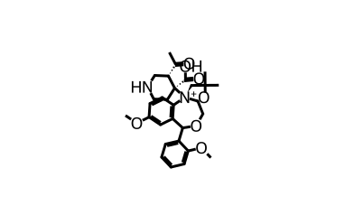 COc1ccc2c(c1)C(c1ccccc1OC)OCC(=O)[N@@+]2(CC(C)(C)C)[C@@]1(C(=O)O)CCNC[C@@H]1C(C)=O